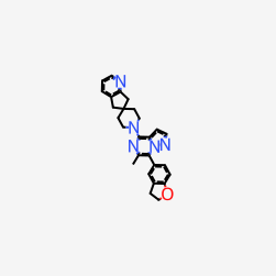 Cc1nc(N2CCC3(CC2)Cc2cccnc2C3)c2ccnn2c1-c1ccc2c(c1)CCO2